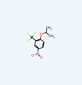 CC(C)Oc1ccc([N+](=O)[O-])cc1C(F)(F)F